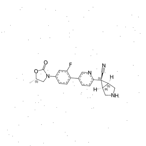 C[C@H]1CN(c2ccc(-c3ccc([C@@]4(C#N)[C@@H]5CNC[C@@H]54)nc3)c(F)c2)C(=O)O1